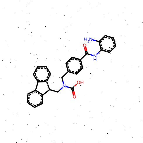 Nc1ccccc1NC(=O)c1ccc(CN(CC2c3ccccc3-c3ccccc32)C(=O)O)cc1